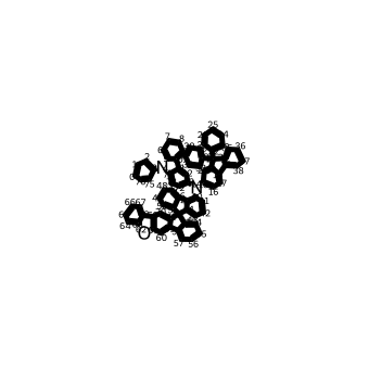 c1ccc(-n2c3ccccc3c3cc(N(c4ccc5c(c4)C(c4ccccc4)(c4ccccc4)c4ccccc4-5)c4cccc5c4-c4ccccc4C54c5ccccc5-c5cc6oc7ccccc7c6cc54)ccc32)cc1